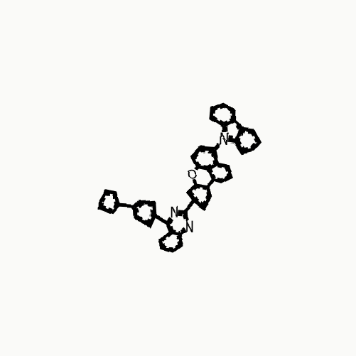 c1ccc(-c2ccc(-c3nc(-c4ccc5c(c4)Oc4ccc(-n6c7ccccc7c7ccccc76)c6cccc-5c46)nc4ccccc34)cc2)cc1